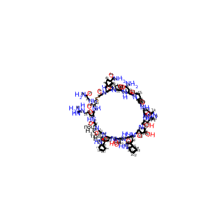 CCCC[C@H]1C(=O)N(C)[C@@H](CCCC)C(=O)N[C@@H](CCCNC(=N)N)C(=O)N[C@H](C(=O)NCC(N)=O)CSCC(=O)N[C@@H](Cc2ccc(C(N)=O)cc2)C(=O)N(C)[C@@H](C)C(=O)NC(CC(N)=O)C(=O)N2CCC[C@H]2C(=O)N[C@@H](Cc2cnc[nH]2)C(=O)N[C@@H](CC(C)C)C(O)N2C[C@H](O)CC2C(=O)N[C@@H](Cc2c[nH]c3ccccc23)C(=O)N[C@@H](CO)C(=O)N[C@@H](Cc2c[nH]c3ccccc23)C(=O)N1C